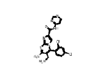 Cc1nc2nc(C(=O)Nc3ccncn3)cn2c(-c2ccc(Cl)cc2Cl)c1CN